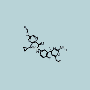 C[C@@]1(c2cc(NC(=O)c3ncc(OCF)nc3NC3CC3)ccc2F)C=C(CF)OC(N)=N1